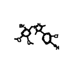 COc1cc(Br)c(Cn2nc(C)c(-c3ccc(C#N)c(Cl)c3)c2C)cc1OC